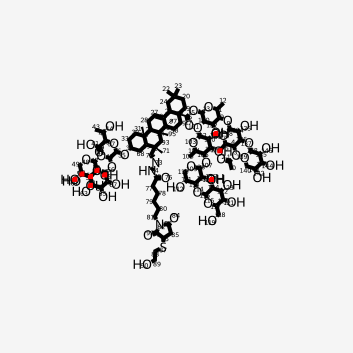 CC(=O)OC1C(C)OC(OC2C(C)OC(OC(=O)[C@]34CCC(C)(C)CC3C3=CCC5[C@@]6(C)CC[C@H](OC(OC(C(=O)O)C(C)O)C(OC7OCC(O)C(O)C7O)OC7OC(CO)C(O)C(O)C7O)CC6[C@@](C)(/C=N/NC(=O)CCCCCN6C(=O)CC(SCCO)C6=O)C[C@@]5(C)[C@]3(C)CC4)C(OC3OC(C)C(OC4OCC(O)C(OC5OC(CO)C(O)C(O)C5O)C4O)C(O)C3O)C2O)C(O)C1OC1OCC(O)C(O)C1O